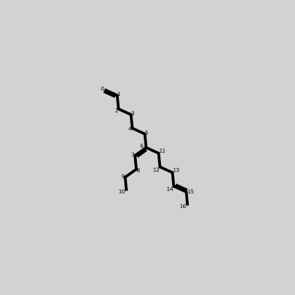 C=CCCCCC(=CCCC)CCCC=CC